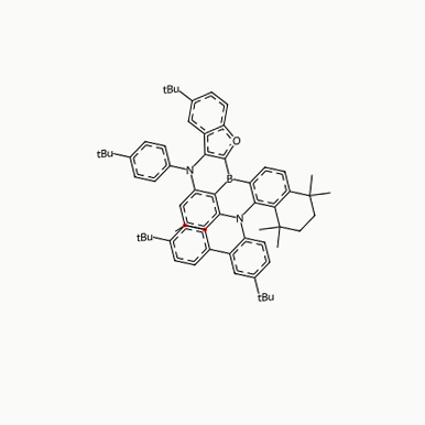 Cc1cc2c3c(c1)N(c1ccc(C(C)(C)C)cc1)c1c(oc4ccc(C(C)(C)C)cc14)B3c1ccc3c(c1N2c1ccc(C(C)(C)C)cc1-c1ccc(C(C)(C)C)cc1)C(C)(C)CCC3(C)C